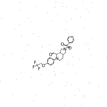 O=CC1C2CN(S(=O)(=O)c3ccccc3)CC2CCN1c1ccc(OCC(F)(F)F)cc1